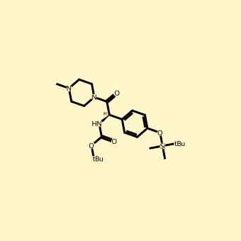 CN1CCN(C(=O)[C@H](NC(=O)OC(C)(C)C)c2ccc(O[Si](C)(C)C(C)(C)C)cc2)CC1